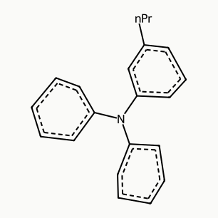 CCCc1cccc(N(c2ccccc2)c2ccccc2)c1